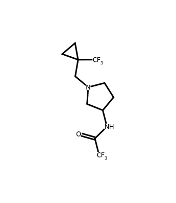 O=C(NC1CCN(CC2(C(F)(F)F)CC2)C1)C(F)(F)F